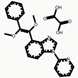 COC(=C(OC)c1cccc2c1ncn2-c1ccccn1)c1ccccc1.O=C(O)C(=O)O